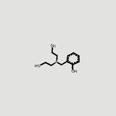 OCCN(CCO)Cc1ccccc1O